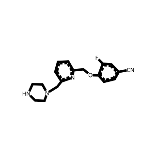 N#Cc1ccc(OCc2cccc(CN3CCNCC3)n2)c(F)c1